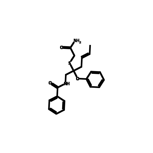 CC=CCC(CNC(=O)c1ccccc1)(Oc1ccccc1)SCC(N)=O